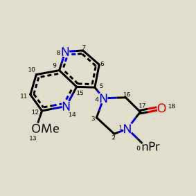 CCCN1CCN(c2ccnc3ccc(OC)nc23)CC1=O